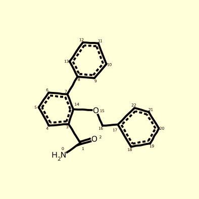 NC(=O)c1cccc(-c2ccccc2)c1OCc1ccccc1